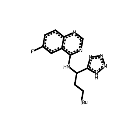 CC(C)(C)CCC(Nc1ncnc2ccc(F)cc12)c1nnn[nH]1